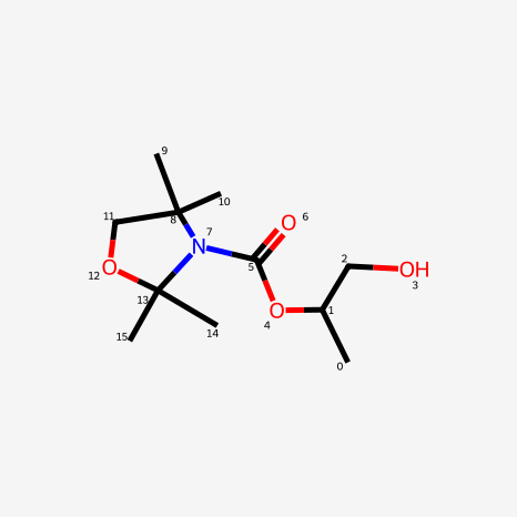 CC(CO)OC(=O)N1C(C)(C)COC1(C)C